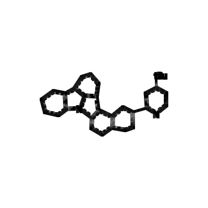 CC(C)(C)c1ccnc(-c2ccc3ccc4c(c3c2)c2cccc3c5ccccc5n4c32)c1